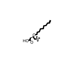 C=CCCCCCCCCO[C@H](CC(=O)O)C[N+](C)(C)C